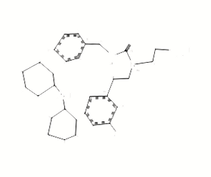 C1CCC(NC2CCCCC2)CC1.O=C(O)CCN(CCc1cccc(F)c1)C(=O)OCc1ccccc1